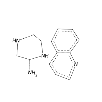 NC1CNCCN1.c1ccc2ncccc2c1